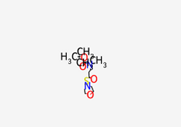 CN(CCC(=O)SN1CCOCC1)C(=O)OC(C)(C)C